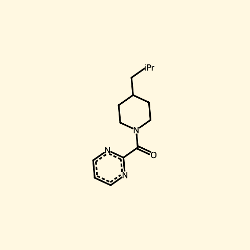 CC(C)CC1CCN(C(=O)c2ncccn2)CC1